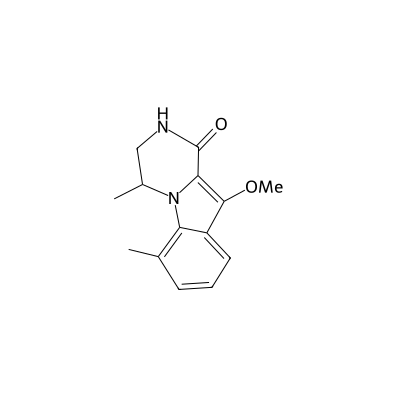 COc1c2n(c3c(C)cccc13)C(C)CNC2=O